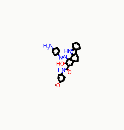 COc1ccc(NC(=O)c2cc3ccc4c5ccccc5[nH]c4c3c(N=Nc3ccc(N)cc3)c2O)cc1